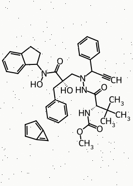 C#CC(c1ccccc1)N(C[C@@](O)(Cc1ccccc1)C(=O)N(O)C1CCc2ccccc21)NC(=O)[C@@H](NC(=O)OC)C(C)(C)C.c1cc2cc-2c1